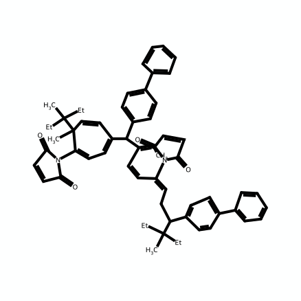 C\C=C(/C=C\C(=C/CC(c1ccc(-c2ccccc2)cc1)C(C)(CC)CC)N1C(=O)C=CC1=O)C(C1=CC=C(N2C(=O)C=CC2=O)C(C)(C(C)(CC)CC)C=C1)c1ccc(-c2ccccc2)cc1